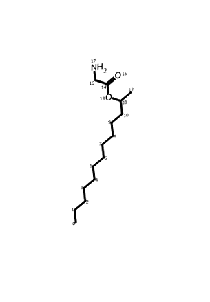 CCCCCCCCCCCC(C)OC(=O)CN